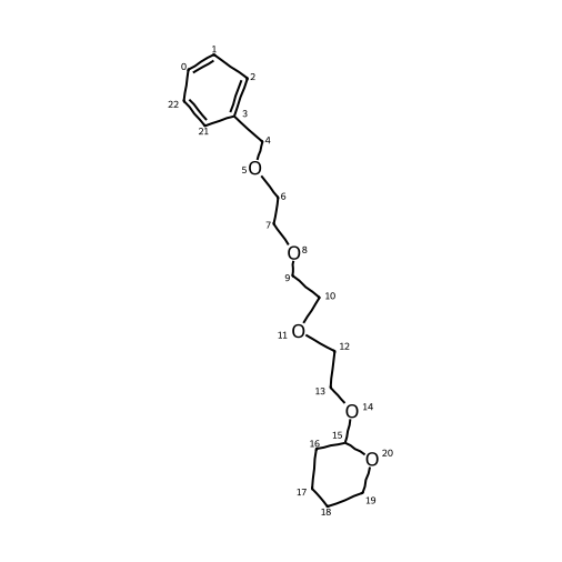 c1ccc(COCCOCCOCCOC2CCCCO2)cc1